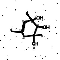 CC1=CC(C)(O)C(O)C(C)(O)C1